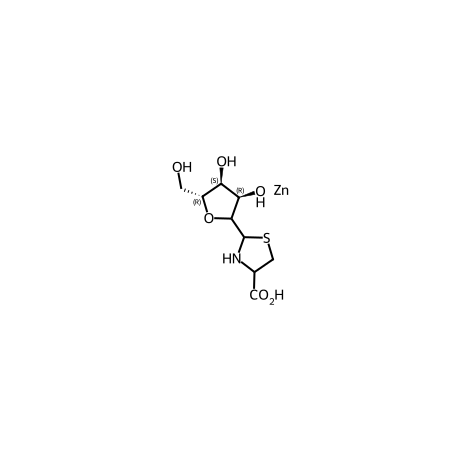 O=C(O)C1CSC(C2O[C@H](CO)[C@@H](O)[C@H]2O)N1.[Zn]